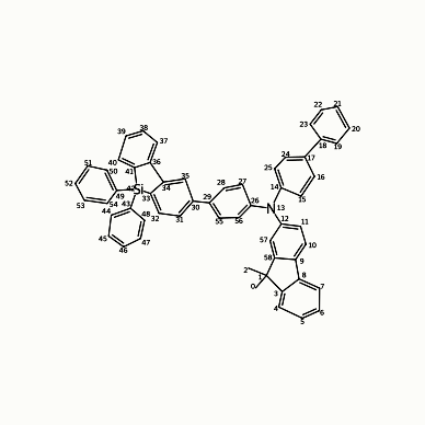 CC1(C)c2ccccc2-c2ccc(N(c3ccc(-c4ccccc4)cc3)c3ccc(-c4ccc5c(c4)-c4ccccc4[Si]5(c4ccccc4)c4ccccc4)cc3)cc21